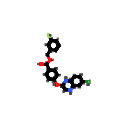 O=C(OCc1cccc(F)c1)c1ccc(Oc2cnc3cc(Cl)ccc3n2)cc1